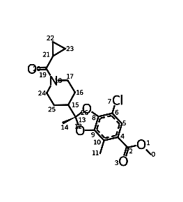 COC(=O)c1cc(Cl)c2c(c1C)O[C@](C)(C1CCN(C(=O)C3CC3)CC1)O2